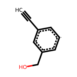 C#Cc1c[c]cc(CO)c1